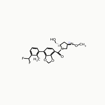 CO/N=C1/C[C@@H](CO)N(C(=O)c2ccc(-c3cccc(C(F)F)c3C)c3c2OCO3)C1